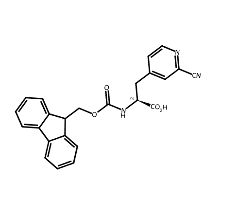 N#Cc1cc(C[C@H](NC(=O)OCC2c3ccccc3-c3ccccc32)C(=O)O)ccn1